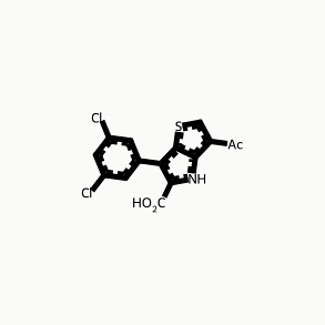 CC(=O)c1csc2c(-c3cc(Cl)cc(Cl)c3)c(C(=O)O)[nH]c12